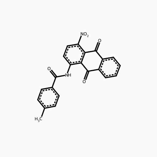 Cc1ccc(C(=O)Nc2ccc([N+](=O)[O-])c3c2C(=O)c2ccccc2C3=O)cc1